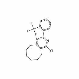 FC(F)(F)c1ccccc1-c1nc(Cl)c2c(n1)CCCCCC2